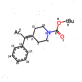 CC(=O)C(=C1CCN(C(=O)OC(C)(C)C)CC1)c1ccccc1